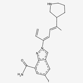 C=C/C(=C\C=C(/C)C1CCCNC1)n1cc2cc(I)cc(C(N)=O)c2n1